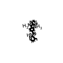 CC1=CC(NC(=O)c2ccc(/C(N)=C3\C(N)=NC=CN3C)cc2)=NCC=C1